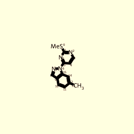 CSc1nccc(-n2ncc3ccc(C)cc32)n1